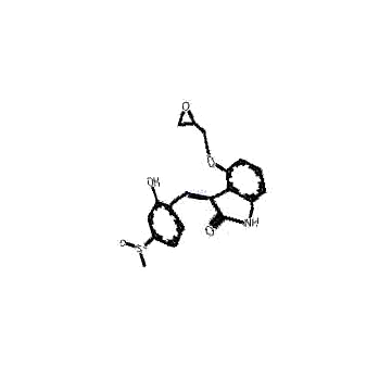 C[S+]([O-])c1ccc(/C=C2\C(=O)Nc3cccc(OCC4CO4)c32)c(O)c1